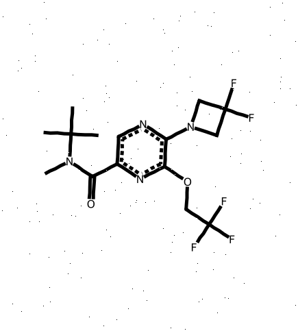 CN(C(=O)c1cnc(N2CC(F)(F)C2)c(OCC(F)(F)F)n1)C(C)(C)C